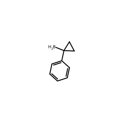 BC1(c2ccccc2)CC1